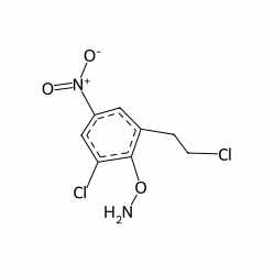 NOc1c(Cl)cc([N+](=O)[O-])cc1CCCl